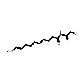 CCCCCCCCC=CCCCCCCCC(=O)NC(=O)CCl